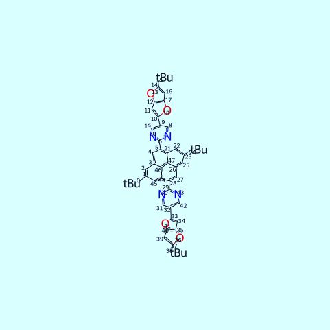 CC(C)(C)c1cc2cc(-c3ncc(-c4cc5oc(C(C)(C)C)cc5o4)cn3)c3cc(C(C)(C)C)cc4cc(-c5ncc(-c6cc7oc(C(C)(C)C)cc7o6)cn5)c(c1)c2c43